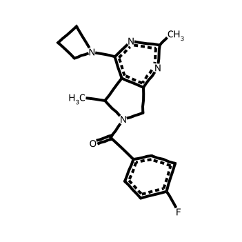 Cc1nc2c(c(N3CCC3)n1)C(C)N(C(=O)c1ccc(F)cc1)C2